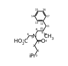 CC(C)CCC(=O)N(CC(=O)O)C[C@@H](C)Cc1ccccc1